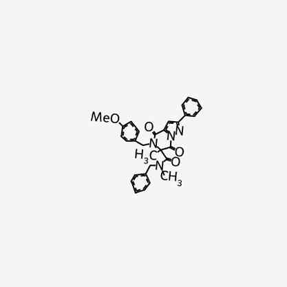 COc1ccc(CN2C(=O)c3cc(-c4ccccc4)nn3C(=O)C2(C)C(=O)N(C)Cc2ccccc2)cc1